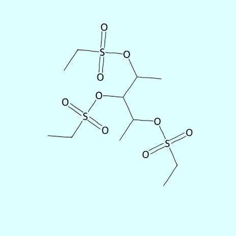 CCS(=O)(=O)OC(C)C(OS(=O)(=O)CC)C(C)OS(=O)(=O)CC